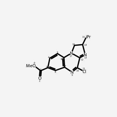 COC(=O)c1ccc2c(c1)N=C(Cl)C1=NC(C(C)C)CN12